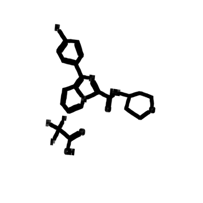 O=C(NC1CCOCC1)c1nc(-c2ccc(F)cc2)c2ccccn12.O=C(O)C(F)(F)F